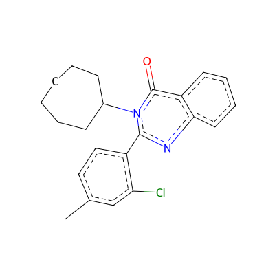 Cc1ccc(-c2nc3ccccc3c(=O)n2C2CCCCCC2)c(Cl)c1